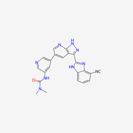 [C-]#[N+]c1cccc2[nH]c(-c3n[nH]c4ncc(-c5cncc(NC(=O)N(C)C)c5)cc34)nc12